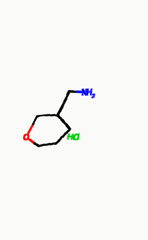 Cl.NCC1CCCOC1